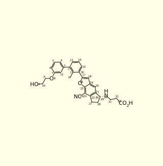 Cc1c(-c2cccc(OCCO)c2)cccc1-c1cc2cc3c(c(C#N)c2o1)CC[C@H]3NCCC(=O)O